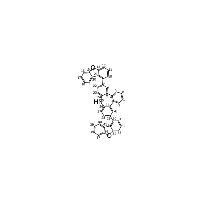 c1ccc2c(c1)-c1cc(-c3cccc4oc5ccccc5c34)ccc1Nc1ccc(-c3cccc4oc5ccccc5c34)cc1-2